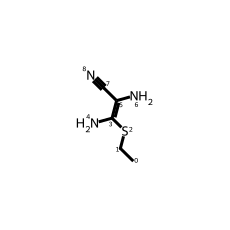 CCS/C(N)=C(\N)C#N